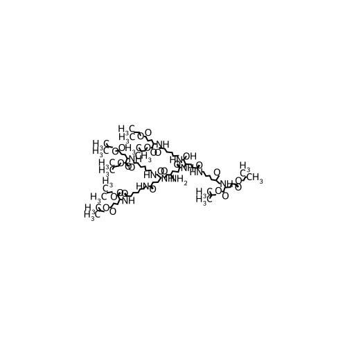 CC(C)COC(=O)CCC(NCC(C=O)CCCCNC(=O)CCC(NC(=O)CCC(N)C(=O)NC(CCC(=O)NCCCCCC(=O)NC(CCC(=O)OCC(C)C)C(=O)OCC(C)C)C(=O)NCCCCCC(=O)NC(CCC(=O)OCC(C)C)C(=O)OCC(C)C)C(O)NCCCCCC(=O)NC(CCC(=O)OCC(C)C)C(=O)OCC(C)C)C(=O)OCC(C)C